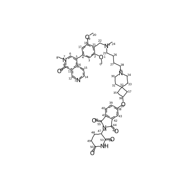 COc1cc(-c2cn(C)c(=O)c3cnccc23)cc(OC)c1CN(C)CCCCN1CCC2(CC1)CC(Oc1ccc3c(c1)C(=O)N(C1CCC(=O)NC1=O)C3=O)C2